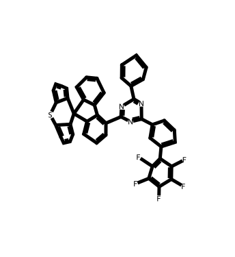 Fc1c(F)c(F)c(-c2cccc(-c3nc(-c4ccccc4)nc(-c4cccc5c4-c4ccccc4C54c5ccccc5Sc5ccccc54)n3)c2)c(F)c1F